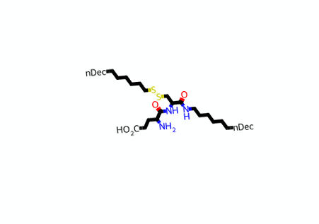 CCCCCCCCCCCCCCCCNC(=O)C(CSSCCCCCCCCCCCCCCCC)NC(=O)C(N)CCC(=O)O